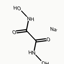 O=C(NO)C(=O)NO.[Na]